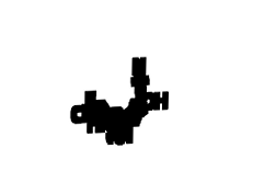 Cn1cnc(C2CC3CC(O)(C#CC(C)(C)C#N)CC3C2)c1C(=O)Nc1ccc(F)c(Cl)c1